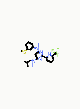 CSc1cccc(Nc2cc(NCC(C)C)nc(-c3cccc(C(F)(F)F)n3)n2)c1